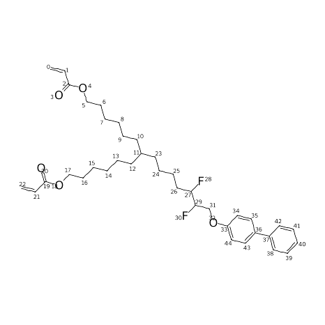 C=CC(=O)OCCCCCCC(CCCCCCOC(=O)C=C)CCCCC(F)C(F)COc1ccc(-c2ccccc2)cc1